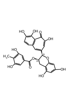 Cc1c(O)cc(C(=O)O[C@@H]2Cc3c(O)cc(O)cc3O[C@@H]2c2cc(O)c(=O)c3c(O)c(O)ccc3c2)cc1O